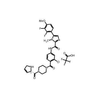 COc1ccc(-c2cnc(C(=O)Nc3ccc(C(=O)N4CCN(C(=O)[C@@H]5C=CCN5)CC4)c(Cl)c3)n2C)c(F)c1F.O=C(O)C(F)(F)F